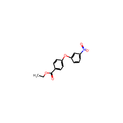 CCOC(=O)c1ccc(Oc2cccc([N+](=O)[O-])c2)cc1